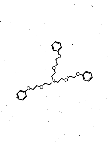 c1ccc(OCCOCCN(CCOCCOc2ccccc2)CCOCCOc2ccccc2)cc1